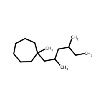 [CH2]C(CC)CC(C)[CH]C1(C)CCCCCC1